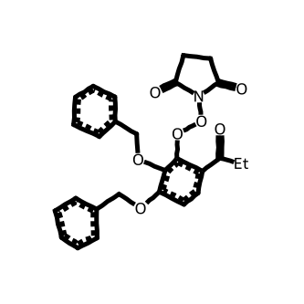 CCC(=O)c1ccc(OCc2ccccc2)c(OCc2ccccc2)c1OON1C(=O)CCC1=O